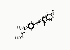 CN(CCCO)c1ccc(C#Cc2cc3c([nH]2)=NCC(F)C=3)cc1